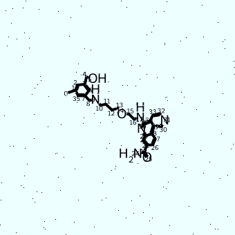 Cc1cc(CO)cc(CNCCCCOCCNc2nc3cc(C(N)=O)ccc3c3cnccc23)c1